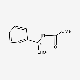 COC(=O)N[C@@H]([C]=O)c1ccccc1